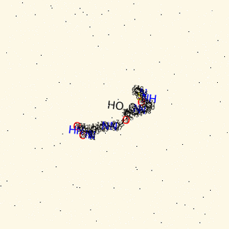 Cc1c(OCCC2CCN(CCN3CCC(c4ccc5c(C6CCC(=O)NC6=O)nn(C)c5c4)CC3)CC2)cccc1-c1ccc(N2CCc3cccc(C(=O)Nc4nc5ccccc5s4)c3C2)nc1C(=O)O